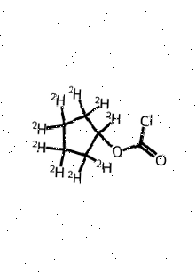 [2H]C1([2H])C([2H])([2H])C([2H])([2H])C([2H])(OC(=O)Cl)C1([2H])[2H]